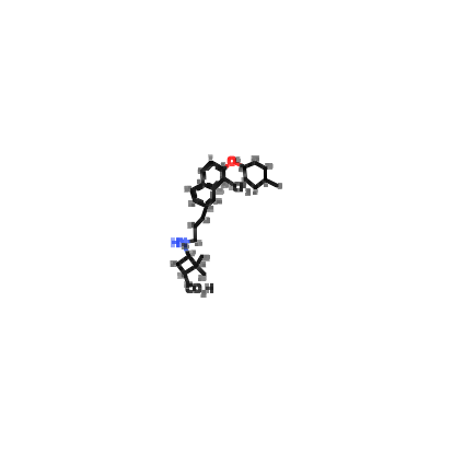 CC1CCC(Oc2ccc3ccc(CCCNC4CC(C(=O)O)C4(C)C)cc3c2C(F)(F)F)CC1